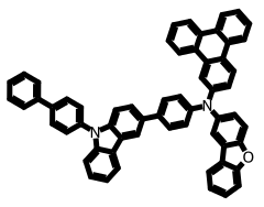 c1ccc(-c2ccc(-n3c4ccccc4c4cc(-c5ccc(N(c6ccc7oc8ccccc8c7c6)c6ccc7c8ccccc8c8ccccc8c7c6)cc5)ccc43)cc2)cc1